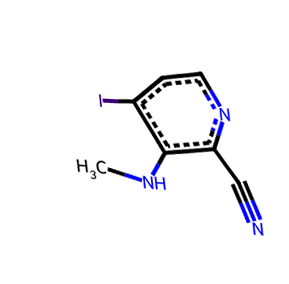 CNc1c(I)ccnc1C#N